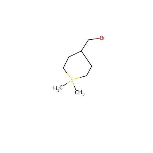 CS1(C)CCC(CBr)CC1